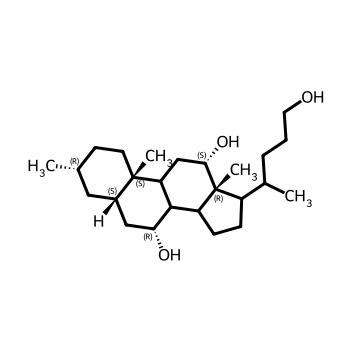 CC(CCCO)C1CCC2C3C(C[C@H](O)[C@]12C)[C@@]1(C)CC[C@@H](C)C[C@H]1C[C@H]3O